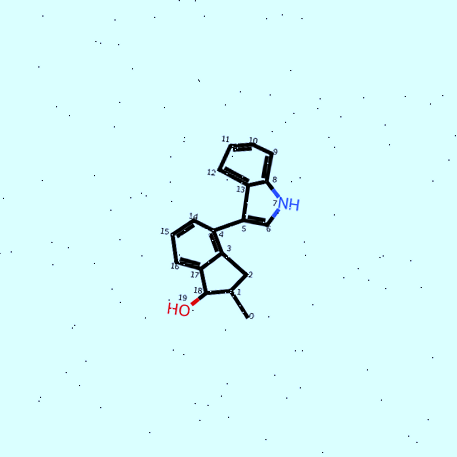 CC1Cc2c(-c3c[nH]c4ccccc34)cccc2C1O